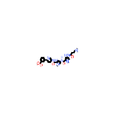 COC(=O)c1cccc(-c2ccc(NC(=O)c3cc(NC(=O)c4cc(NC(=O)CCCN(C)C)cn4C)cn3C)cn2)c1